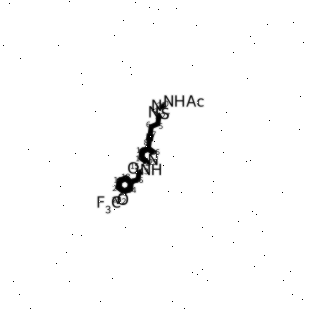 CC(=O)Nc1nnc(CCC#Cc2ccc(NC(=O)Cc3cccc(OC(F)(F)F)c3)nc2)s1